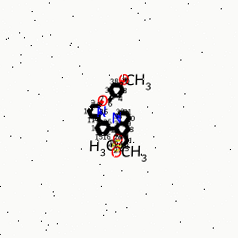 COc1ccc(COc2cccc(-c3cccc(-c4cc(CC(C)S(C)(=O)=O)cc5cccnc45)c3)n2)cc1